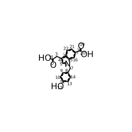 O=C(O)Cc1cn(Cc2ccc(O)cc2)c2cc(C(=O)O)ccc12